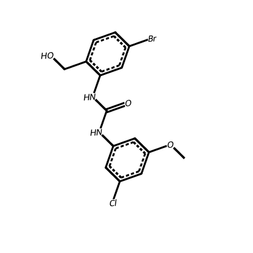 COc1cc(Cl)cc(NC(=O)Nc2cc(Br)ccc2CO)c1